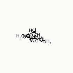 COc1ccc(OCC2CC2)c(-c2ncnc3c(C(=O)NC4CCC(N)CC4)c(C)[nH]c23)c1.Cl